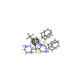 CC(C)(C)[C]12[CH]3[C]4(CP(C5C6CC7CC(C6)CC5C7)C5C6CC7CC(C6)CC5C7)[C]5(C(P)(C6CNCCN6)C6CNCCN6)[CH]1[Fe]34251678[CH]2[CH]1[CH]6[CH]7[CH]28